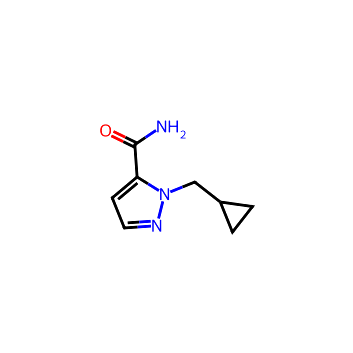 NC(=O)c1ccnn1CC1CC1